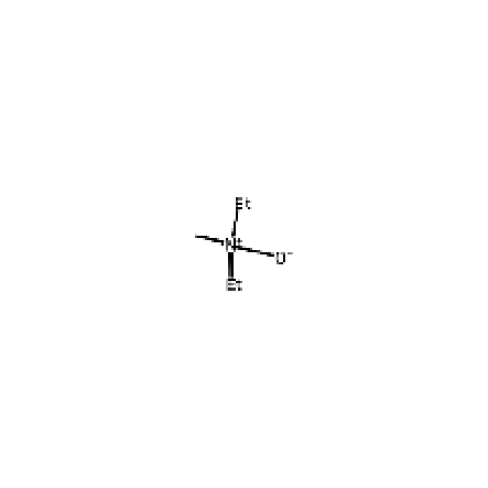 CC[N+](C)([O-])CC